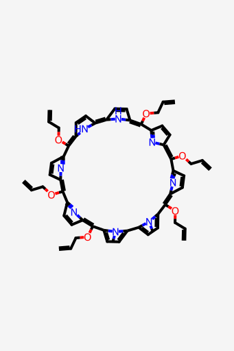 C=CCOc1c2nc(c(OCC=C)c3ccc([nH]3)c3ccc([nH]3)c(OCC=C)c3nc(c(OCC=C)c4nc(c(OCC=C)c5ccc(c6ccc(c(OCC=C)c7nc1C=C7)n6C)n5C)C=C4)C=C3)C=C2